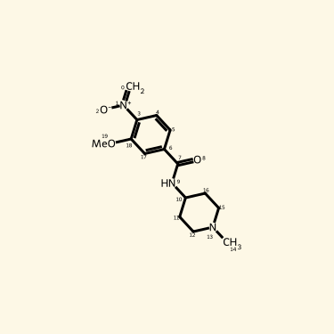 C=[N+]([O-])c1ccc(C(=O)NC2CCN(C)CC2)cc1OC